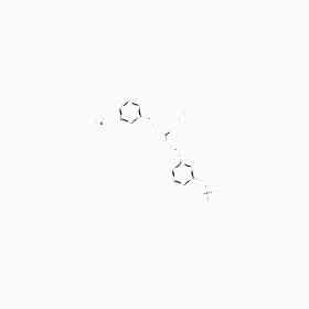 O=C(OB(O)c1cccc(OC(F)(F)F)c1)OB(O)c1cccc(OC(F)(F)F)c1.[KH].[KH]